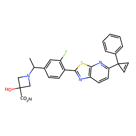 CC(c1ccc(-c2nc3ccc(C4(c5ccccc5)C=C4)nc3s2)c(F)c1)N1CC(O)(C(=O)O)C1